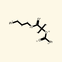 CC(C)CCCOC(=O)C(C)(C)OC(=O)C(C)C